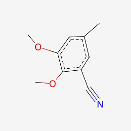 COc1cc(C)cc(C#N)c1OC